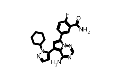 NC(=O)c1cc(-c2cc(-c3ccnn3C3CCCCC3)c3c(N)ncnn23)ccc1F